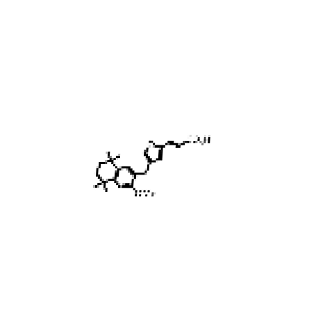 COc1cc2c(cc1Cc1coc(C=CC(=O)O)c1)C(C)(C)CCC2(C)C